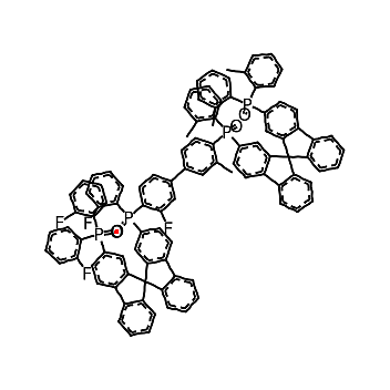 Cc1ccccc1P(=O)(c1ccc2c(c1)C1(c3ccccc3-2)c2ccccc2-c2ccc(P(=O)(c3ccccc3C)c3ccc(-c4ccc(P(=O)(c5ccc6c(c5)C5(c7ccccc7-c7ccc(P(=O)(c8ccccc8F)c8ccccc8F)cc75)c5ccccc5-6)c5ccccc5F)c(F)c4)cc3C)cc21)c1ccccc1C